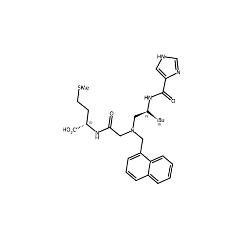 CC[C@H](C)[C@@H](CN(CC(=O)N[C@@H](CCSC)C(=O)O)Cc1cccc2ccccc12)NC(=O)c1c[nH]cn1